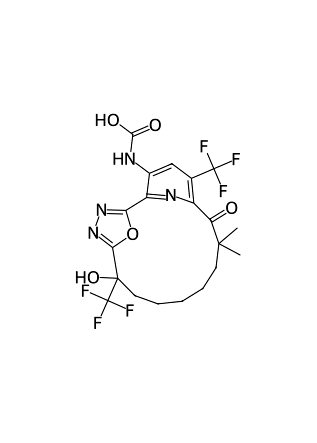 CC1(C)CCCCCC(O)(C(F)(F)F)c2nnc(o2)-c2nc(c(C(F)(F)F)cc2NC(=O)O)C1=O